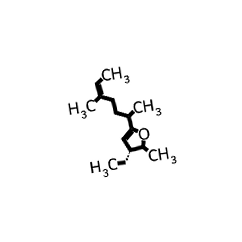 C/C=C(/C)CCC(C)C1=C[C@@H](CC)C(C)O1